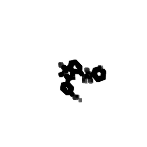 Cn1c(-c2cccc(C(F)(F)F)c2)nc2c(NS(=O)(=O)c3cccnc3)cccc2c1=O